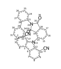 N#Cc1cccc2c3cccc(C#N)c3n(-c3cccc4c3C(=O)N(c3ccccc3-c3ccccc3)C4=O)c12